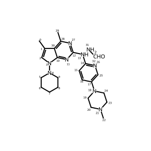 Cc1cn(N2CCCCC2)c2nc(Nc3ccc(N4CCN(C)CC4)cn3)nc(C)c12.NC=O